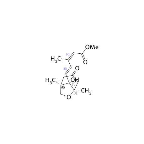 COC(=O)/C=C(C)\C=C\[C@]1(O)[C@@]2(C)CO[C@]1(C)CC(=O)C2